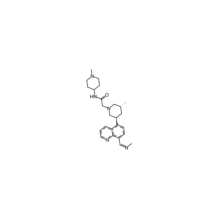 C/N=C\c1ccc([C@@H]2C[C@@H](C)CN(CC(=O)NC3CCN(C)CC3)C2)c2cccnc12